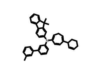 Cc1cccc(-c2cccc(N(C3=CCC=C(C4C=CCCC4)C=C3)c3ccc4c(c3)C(C)(C)c3ccccc3-4)c2)c1